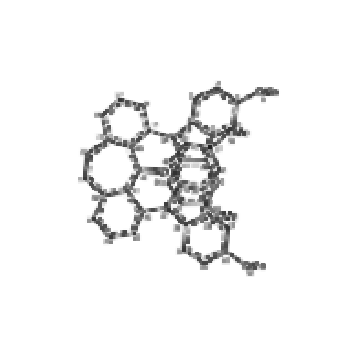 COc1ccc2c(c1)c1cc(OC)ccc1n2-c1cccc2ccc3cccc(-n4c5ccc(OC)cc5c5cc(OC)ccc54)c3c(=O)c12